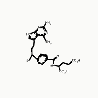 CC(C)C(CCc1c[nH]c2nc(N)nc(N)c12)c1ccc(C(=O)N[C@@H](CCC(=O)O)C(=O)O)cc1